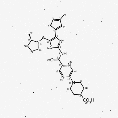 Cc1csc(-c2nc(NC(=O)c3cnc(N4CCC(C(=O)O)CC4)cn3)sc2CN2CCC[C@H]2C)c1